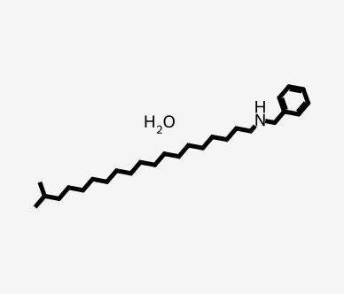 CC(C)CCCCCCCCCCCCCCCCCNCc1ccccc1.O